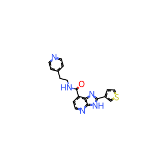 O=C(NCCc1ccncc1)c1ccnc2[nH]c(-c3ccsc3)nc12